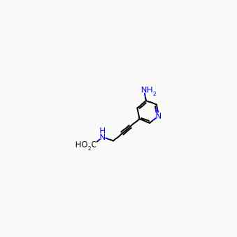 Nc1cncc(C#CCNC(=O)O)c1